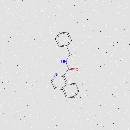 O=C(N[CH]c1ccccc1)c1nccc2ccccc12